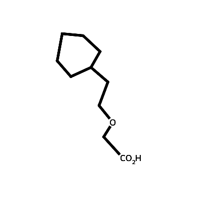 O=C(O)COCCC1CCCCC1